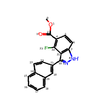 COC(=O)c1ccc2[nH]nc(-c3ccc4ccccc4c3)c2c1F